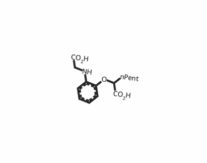 CCCCCC(Oc1ccccc1NCC(=O)O)C(=O)O